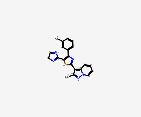 CC(=O)c1cccc(-c2nc(-c3c(C)nn4ccccc34)sc2C2=NCC=N2)c1